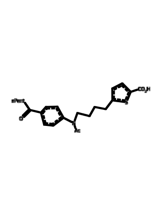 CCCCCC(=O)c1ccc(N(CCCCc2ccc(C(=O)O)s2)C(C)=O)cc1